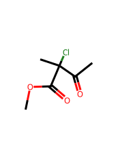 COC(=O)C(C)(Cl)C(C)=O